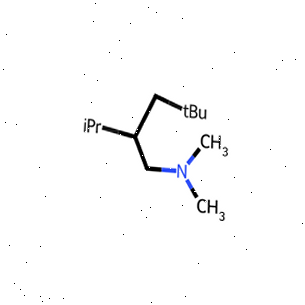 CC(C)C(CN(C)C)CC(C)(C)C